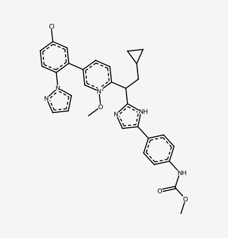 COC(=O)Nc1ccc(-c2cnc(C(CC3CC3)c3ccc(-c4cc(Cl)ccc4-n4cccn4)c[n+]3OC)[nH]2)cc1